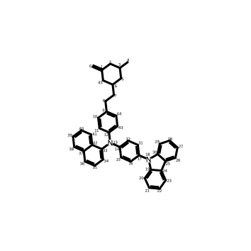 C=C1CC(C)CC(CCc2ccc(N(c3ccc(-n4c5ccccc5c5ccccc54)cc3)c3cccc4ccccc34)cc2)C1